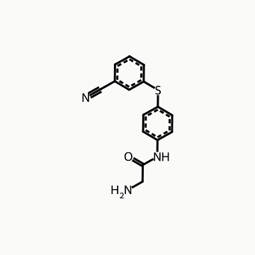 N#Cc1cccc(Sc2ccc(NC(=O)CN)cc2)c1